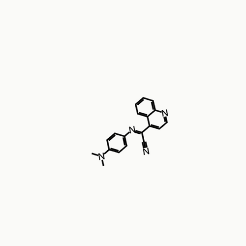 CN(C)c1ccc(N=C(C#N)c2ccnc3ccccc23)cc1